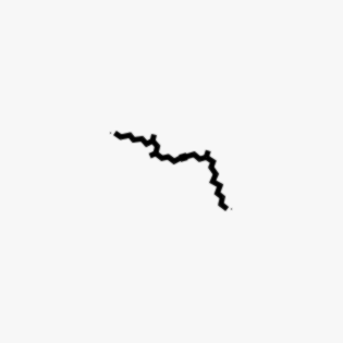 [CH2]CCCCCCCCC(C)CCC#CCCCC(C)CC(C)CCCCC[CH2]